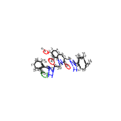 COc1ccc2cc(CNc3ccc(C)cc3)c(=O)n(CC(=O)Nc3ccccc3Cl)c2c1